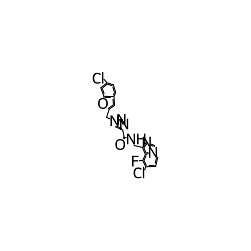 O=C(NCc1ncn2ccc(Cl)c(F)c12)c1cn(Cc2cc3ccc(Cl)cc3o2)nn1